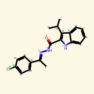 C/C(=N\NC(=O)c1[nH]c2ccccc2c1C(C)C)c1ccc(Cl)cc1